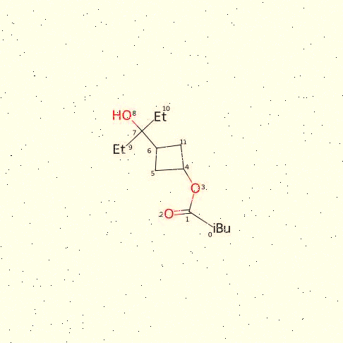 CCC(C)C(=O)OC1CC(C(O)(CC)CC)C1